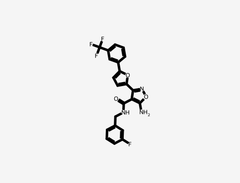 Nc1onc(-c2ccc(-c3cccc(C(F)(F)F)c3)o2)c1C(=O)NCc1cccc(F)c1